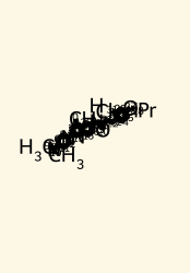 Cc1cc(N2CCC(N(C)C)CC2)nc2ccc(NC(=O)CCc3ccc(OC(C)C)cc3Cl)cc12